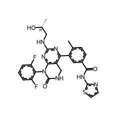 Cc1ccc(C(=O)Nc2nccs2)cc1-c1nc(NC[C@@H](C)O)nc2c1CNC(=O)N2c1c(F)cccc1F